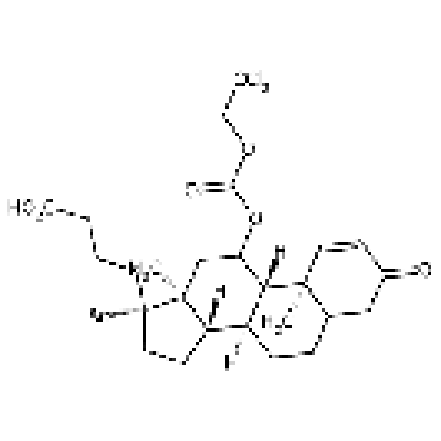 CC(=O)[C@@]1(CCCC(=O)O)CC[C@H]2[C@@H]3CCC4CC(=O)C=C[C@]4(C)[C@H]3C(OC(=O)OCC(Cl)(Cl)Cl)C[C@@]21C